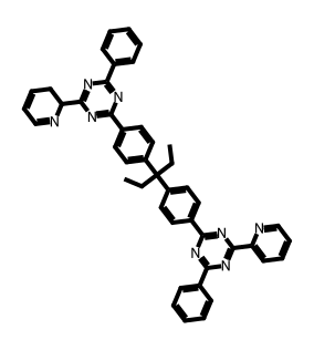 CCC(CC)(c1ccc(-c2nc(-c3ccccc3)nc(-c3ccccn3)n2)cc1)c1ccc(-c2nc(-c3ccccc3)nc(C3CC=CC=N3)n2)cc1